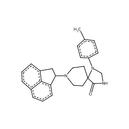 Cc1ccc(N2CNC(=O)C23CCN(C2Cc4cccc5cccc2c45)CC3)cc1